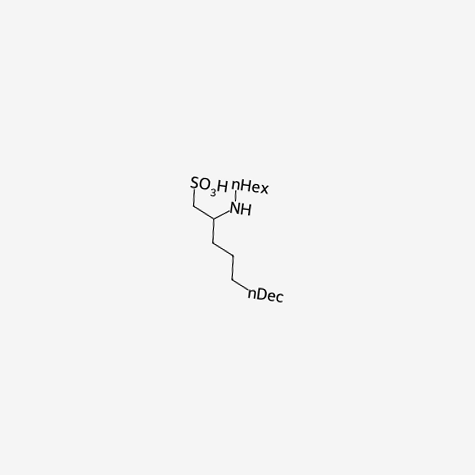 CCCCCCCCCCCCCC(CS(=O)(=O)O)NCCCCCC